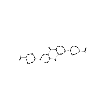 O=C(O)c1ccc(-c2ccc3c(c2)C(=O)c2ccc(-c4ccc(C(=O)O)cc4)cc2C3=O)cc1